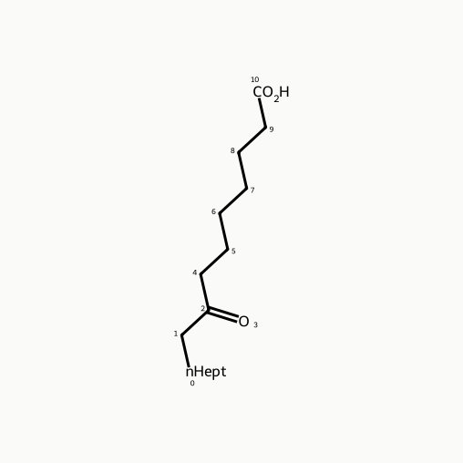 CCCCCCCCC(=O)CCCCCCC(=O)O